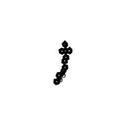 c1ccc(-c2c3ccccc3c(-c3ccc4cc(-c5ccc6cc7oc8c(ccc9c%10ccccc%10oc98)c7cc6c5)ccc4c3)c3ccccc23)cc1